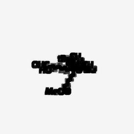 COC(=O)CCCCCCC1C(O[Si](C)(C)C(C)(C)C)CC(O[Si](C)(C)C(C)(C)C)C1CCCCCCC(O)C=O